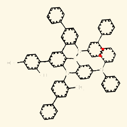 Cc1ccc(-c2cc3c4c(c2)N(c2ccc(-c5ccccc5)cc2C)c2ccc(N(c5ccccc5)c5ccccc5)cc2B4N(c2cccc(-c4ccccc4)c2)c2ccc(-c4ccccc4)cc2-3)c(C)c1